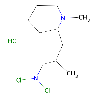 CC(CC1CCCCN1C)CN(Cl)Cl.Cl